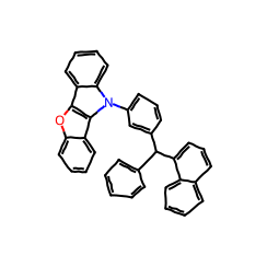 c1ccc(C(c2cccc(-n3c4ccccc4c4oc5ccccc5c43)c2)c2cccc3ccccc23)cc1